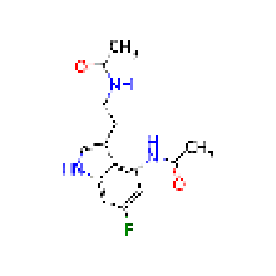 CC(=O)NCCc1c[nH]c2cc(F)cc(NC(C)=O)c12